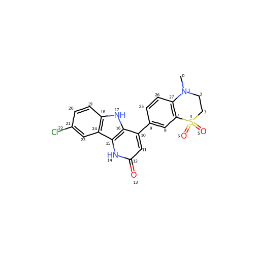 CN1CCS(=O)(=O)c2cc(-c3cc(=O)[nH]c4c3[nH]c3ccc(Cl)cc34)ccc21